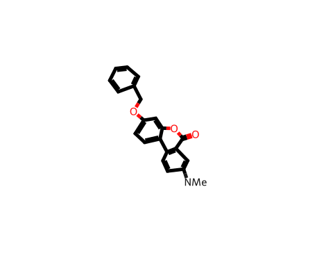 CNc1ccc2c(c1)c(=O)oc1cc(OCc3ccccc3)ccc12